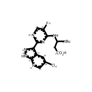 CC(C)(C)C(CC(=O)O)Nc1nc(-c2n[nH]c3ncc(Cl)cc23)ncc1F